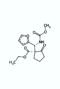 CCOC(=O)[C@@]1([C@@H](NC(=O)OC)c2ccco2)CCCC1=O